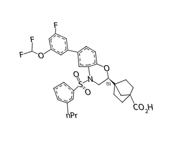 CCCc1cccc(S(=O)(=O)N2C[C@H](C34CCC(C(=O)O)(CC3)C4)Oc3ccc(-c4cc(F)cc(OC(F)F)c4)cc32)c1